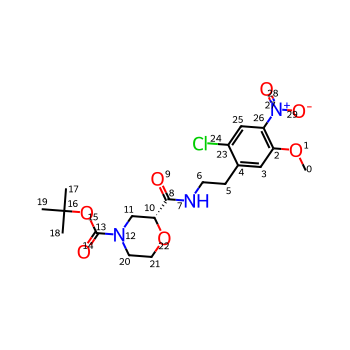 COc1cc(CCNC(=O)[C@H]2CN(C(=O)OC(C)(C)C)CCO2)c(Cl)cc1[N+](=O)[O-]